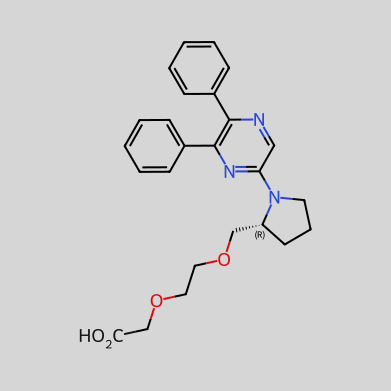 O=C(O)COCCOC[C@H]1CCCN1c1cnc(-c2ccccc2)c(-c2ccccc2)n1